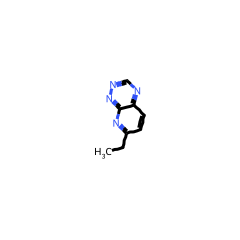 CCc1ccc2ncnnc2n1